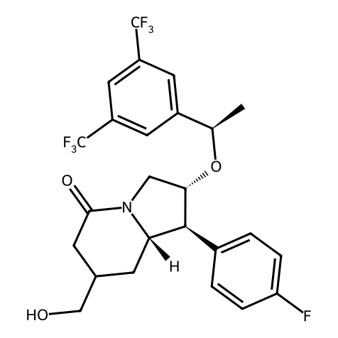 C[C@@H](O[C@H]1CN2C(=O)CC(CO)C[C@H]2[C@@H]1c1ccc(F)cc1)c1cc(C(F)(F)F)cc(C(F)(F)F)c1